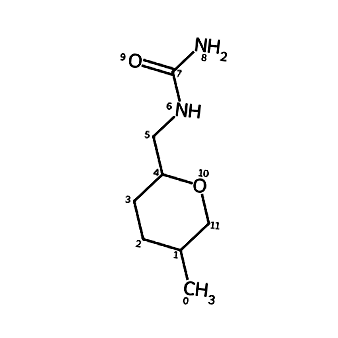 CC1CCC(CNC(N)=O)OC1